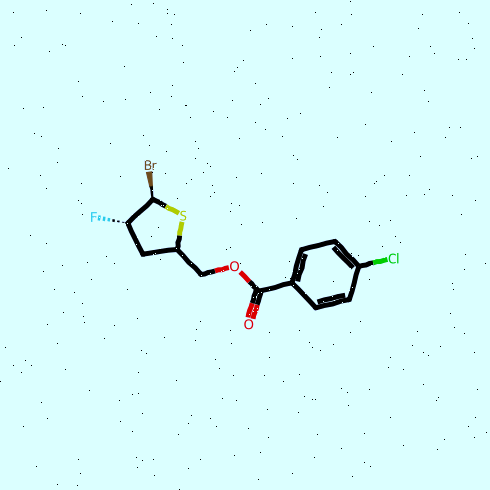 O=C(OCC1C[C@H](F)[C@@H](Br)S1)c1ccc(Cl)cc1